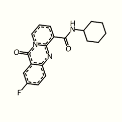 O=C(NC1CCCCC1)c1cccn2c(=O)c3cc(F)ccc3nc12